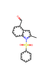 Cc1cc2c(C=O)cccc2n1S(=O)(=O)c1ccccc1